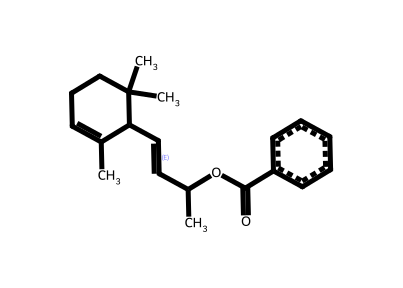 CC1=CCCC(C)(C)C1/C=C/C(C)OC(=O)c1ccccc1